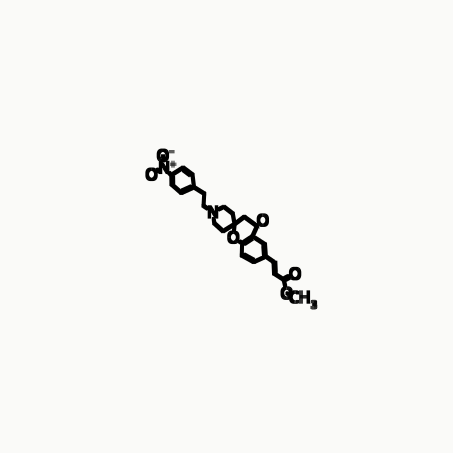 COC(=O)C=Cc1ccc2c(c1)C(=O)CC1(CCN(CCc3ccc([N+](=O)[O-])cc3)CC1)O2